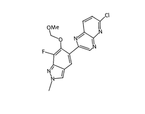 COCOc1c(-c2cnc3nc(Cl)ccc3n2)cc2cn(C)nc2c1F